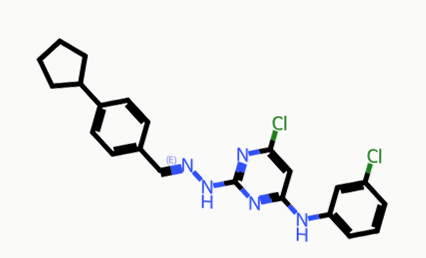 Clc1cccc(Nc2cc(Cl)nc(N/N=C/c3ccc(C4CCCC4)cc3)n2)c1